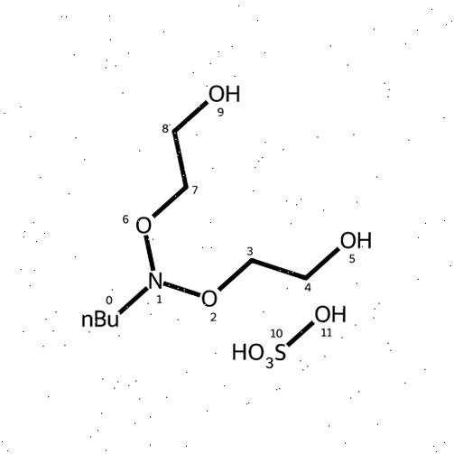 CCCCN(OCCO)OCCO.O=S(=O)(O)O